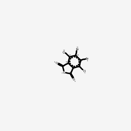 O=C1OC(=O)c2c(Cl)c(Br)c(Br)c(Cl)c21